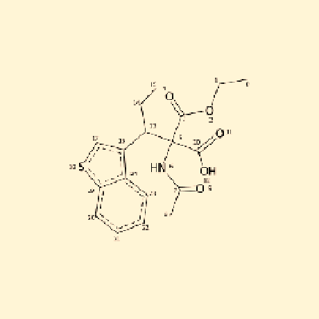 CCOC(=O)C(NC(C)=O)(C(=O)O)C(CC)c1csc2ccccc12